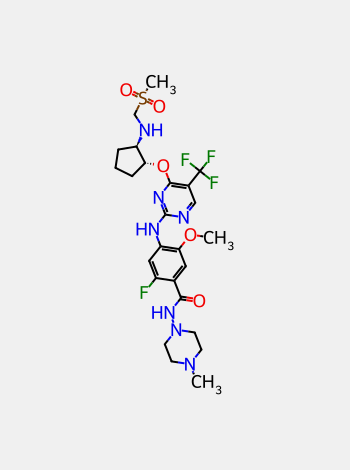 COc1cc(C(=O)NN2CCN(C)CC2)c(F)cc1Nc1ncc(C(F)(F)F)c(O[C@@H]2CCC[C@H]2NCS(C)(=O)=O)n1